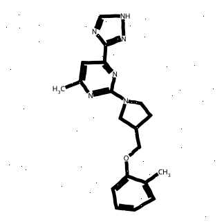 Cc1cc(-c2nc[nH]n2)nc(N2CCC(COc3ccccc3C)C2)n1